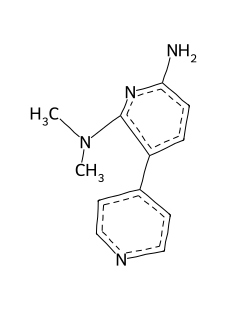 CN(C)c1nc(N)ccc1-c1ccncc1